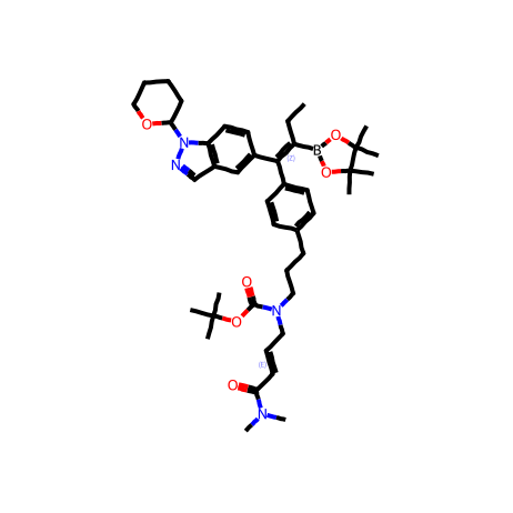 CC/C(B1OC(C)(C)C(C)(C)O1)=C(/c1ccc(CCCN(C/C=C/C(=O)N(C)C)C(=O)OC(C)(C)C)cc1)c1ccc2c(cnn2C2CCCCO2)c1